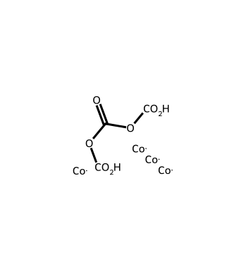 O=C(O)OC(=O)OC(=O)O.[Co].[Co].[Co].[Co]